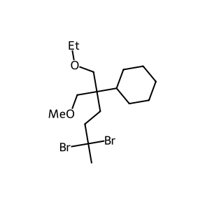 CCOCC(CCC(C)(Br)Br)(COC)C1CCCCC1